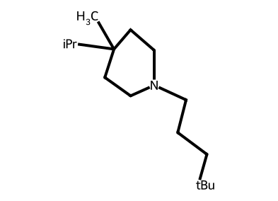 CC(C)C1(C)CCN(CCCC(C)(C)C)CC1